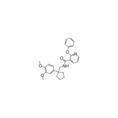 COc1ccc(C2(CNC(=O)c3cccnc3Oc3ccccc3)CCCC2)cc1OC